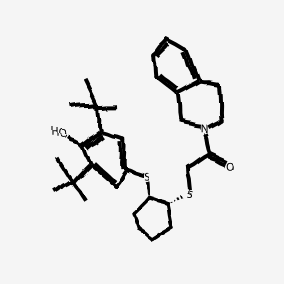 CC(C)(C)c1cc(S[C@@H]2CCCC[C@H]2SCC(=O)N2CCc3ccccc3C2)cc(C(C)(C)C)c1O